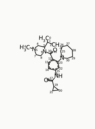 CC(C)C1CN(C)CCN1C(=O)c1ccc(NC(=O)C2CC2)cc1N1CCCCCC1